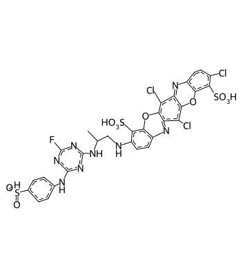 CC(CNc1ccc2c(c1S(=O)(=O)O)Oc1c(Cl)c3c(c(Cl)c1=N2)Oc1c(ccc(Cl)c1S(=O)(=O)O)N=3)Nc1nc(F)nc(Nc2ccc([SH](=O)=O)cc2)n1